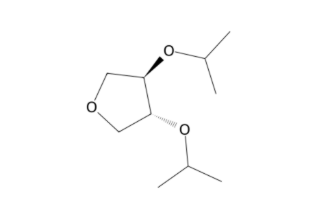 CC(C)O[C@@H]1COC[C@H]1OC(C)C